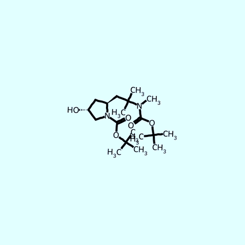 CN(C(=O)OC(C)(C)C)C(C)(C)C[C@@H]1C[C@@H](O)CN1C(=O)OC(C)(C)C